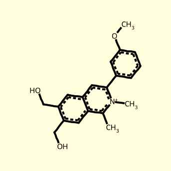 COc1cccc(-c2cc3cc(CO)c(CO)cc3c(C)[n+]2C)c1